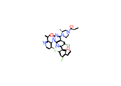 C=CC(=O)N1CCN(c2nc(=O)n(-c3c(C)ccnc3C(C)C)c3nc(-c4c(F)cc(F)c5ccoc45)c(Cl)cc23)[C@@H](C)C1